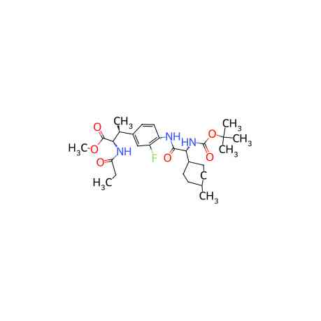 CCC(=O)N[C@@H](C(=O)OC)[C@@H](C)c1ccc(NC(=O)[C@@H](NC(=O)OC(C)(C)C)C2CCC(C)CC2)c(F)c1